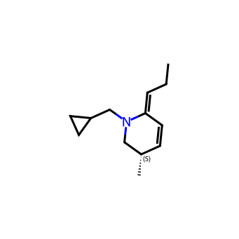 CCC=C1C=C[C@H](C)CN1CC1CC1